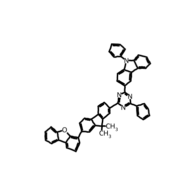 CC1(C)c2cc(-c3nc(-c4ccccc4)nc(-c4ccc5c(c4)c4ccccc4n5-c4ccccc4)n3)ccc2-c2ccc(-c3cccc4c3oc3ccccc34)cc21